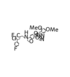 COc1ccc(CN(c2ncns2)S(=O)(=O)c2ccc3c(c2)OCC[C@@H]3NCC[C@H](CC(Cl)c2ccc(F)cc2)C(F)(F)F)c(OC)c1